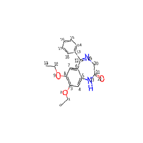 CCOc1cc2c(cc1OCC)C(c1ccccc1)=NCC(=O)N2